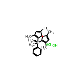 CC1=CC(C)=[C]([Zr]([CH3])(=[SiH2])([C]2=C(C)C=C(C)C2)[c]2ccccc2)C1.Cl.Cl